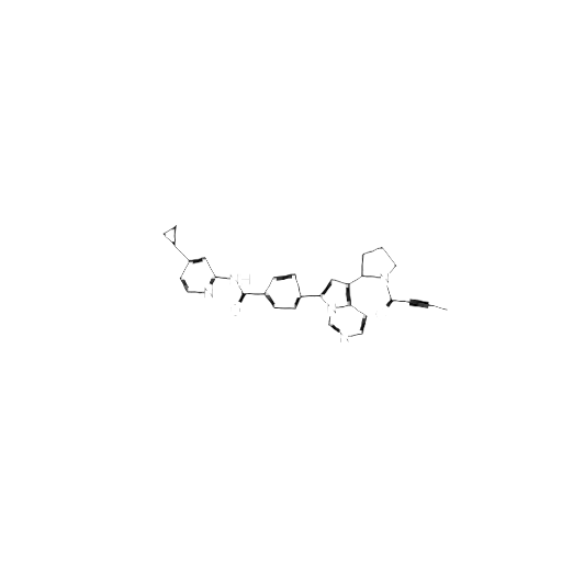 CC#CC(=O)N1CCCC1c1cc(-c2ccc(C(=O)Nc3cc(C4CC4)ccn3)cc2)n2cnccc12